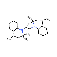 CC1CC(C)(C)N(CCN2C3CCCCC3C(C)CC2(C)C)C2CCCCC12